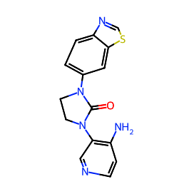 Nc1ccncc1N1CCN(c2ccc3ncsc3c2)C1=O